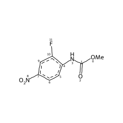 COC(=O)Nc1ccc([N+](=O)[O-])cc1F